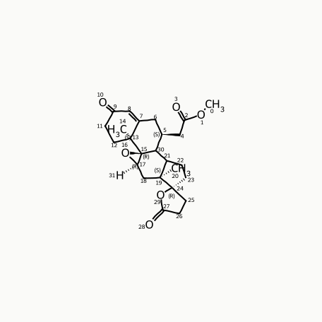 COC(=O)C[C@@H]1CC2=CC(=O)CC[C@]2(C)[C@@]23O[C@@H]2C[C@@]2(C)C(CC[C@@]24CCC(=O)O4)C13